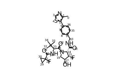 Cc1ncsc1-c1ccc(CNC(=O)[C@@H]2[C@@H](F)[C@@H](O)CN2C(=O)[C@@H](NC(=O)C2(F)CC2)C(C)(C)C)cc1